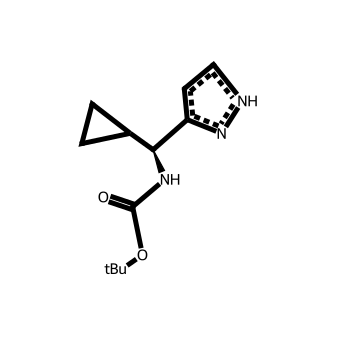 CC(C)(C)OC(=O)N[C@H](c1cc[nH]n1)C1CC1